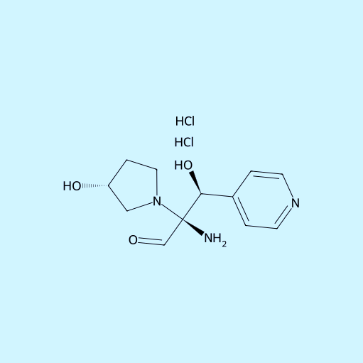 Cl.Cl.N[C@](C=O)([C@@H](O)c1ccncc1)N1CC[C@@H](O)C1